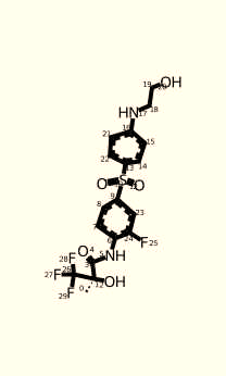 C[C@@](O)(C(=O)Nc1ccc(S(=O)(=O)c2ccc(NCCO)cc2)cc1F)C(F)(F)F